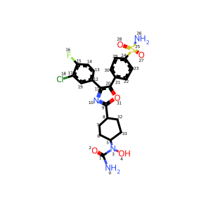 NC(=O)N(O)C1CCC(c2nc(-c3ccc(F)c(Cl)c3)c(-c3ccc(S(N)(=O)=O)cc3)o2)CC1